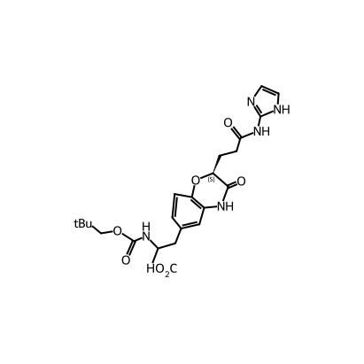 CC(C)(C)COC(=O)NC(Cc1ccc2c(c1)NC(=O)[C@H](CCC(=O)Nc1ncc[nH]1)O2)C(=O)O